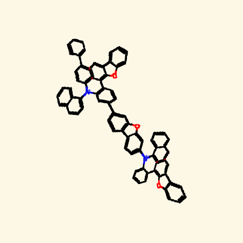 c1ccc(-c2ccc(N(c3cc(-c4ccc5c(c4)oc4cc(N(c6ccccc6-c6cccc7c6oc6ccccc67)c6cccc7ccccc67)ccc45)ccc3-c3cccc4c3oc3ccccc34)c3cccc4ccccc34)cc2)cc1